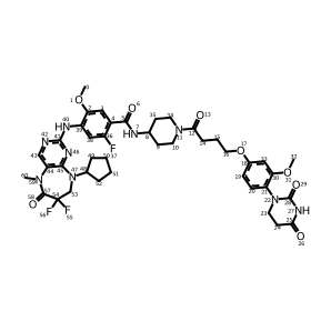 COc1cc(C(=O)NC2CCN(C(=O)CCCOc3ccc(N4CCC(=O)NC4=O)c(OC)c3)CC2)c(F)cc1Nc1ncc2c(n1)N(C1CCCC1)CC(F)(F)C(=O)N2C